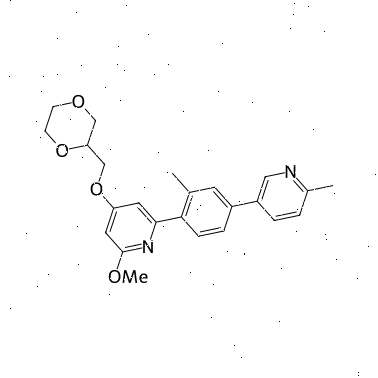 COc1cc(OCC2COCCO2)cc(-c2ccc(-c3ccc(C)nc3)cc2C)n1